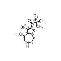 CC1CNCCc2sc(C(=O)C(C)(C)C)c(Br)c21